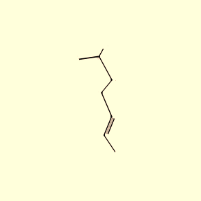 CC/C=C/CCC(C)CCC